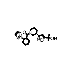 C[C@@H]1CC[C@@H](c2cc(C(C)(C)O)on2)CN1C(=O)c1ccccc1-n1nccn1